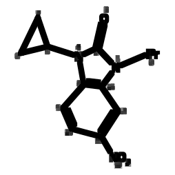 CC(C)n1c(=O)n(C2CC2)c2ccc([N+](=O)[O-])cc21